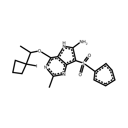 Cc1nc(OC(C)C2(I)CCC2)c2[nH]c(N)c(S(=O)(=O)c3ccccc3)c2n1